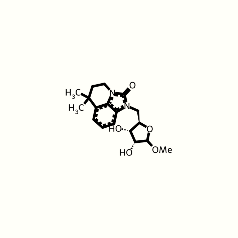 COC1O[C@H](Cn2c(=O)n3c4c(cccc42)C(C)(C)CC3)[C@@H](O)[C@H]1O